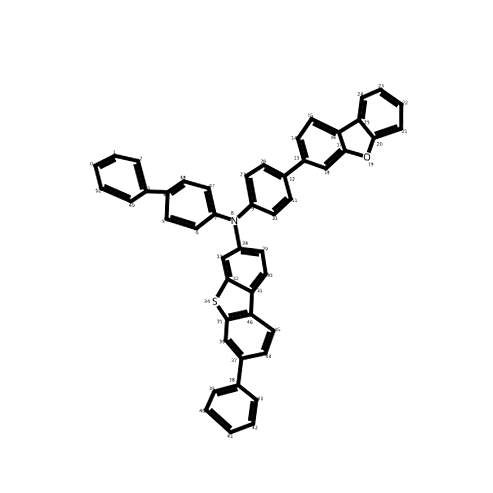 c1ccc(-c2ccc(N(c3ccc(-c4ccc5c(c4)oc4ccccc45)cc3)c3ccc4c(c3)sc3cc(-c5ccccc5)ccc34)cc2)cc1